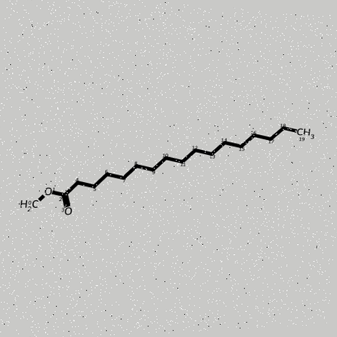 [CH2]OC(=O)CCCCCCCCCCCCCCCC